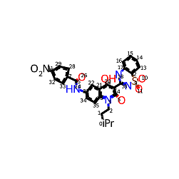 CC(C)CCn1c(=O)c(C2=NS(=O)(=O)c3ccccc3[N]2)c(O)c2cc(NC(=O)c3ccc([N+](=O)[O-])cc3)ccc21